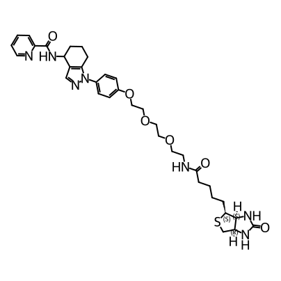 O=C(CCCC[C@@H]1SC[C@@H]2NC(=O)N[C@@H]21)NCCOCCOCCOc1ccc(-n2ncc3c2CCCC3NC(=O)c2ccccn2)cc1